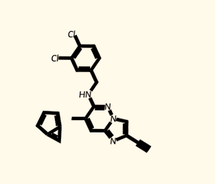 C#Cc1cn2nc(NCc3ccc(Cl)c(Cl)c3)c(C)cc2n1.c1cc2cc-2c1